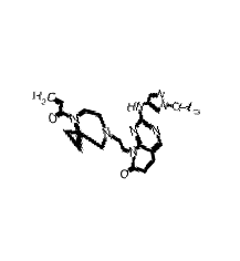 C=CC(=O)N1CCN(CCn2c(=O)ccc3cnc(Nc4cnn(C)c4)nc32)CC12CC2